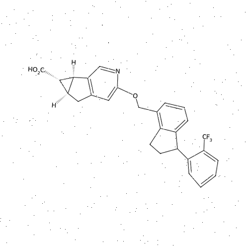 O=C(O)[C@H]1[C@@H]2Cc3cc(OCc4cccc5c4CCC5c4ccccc4C(F)(F)F)ncc3[C@@H]21